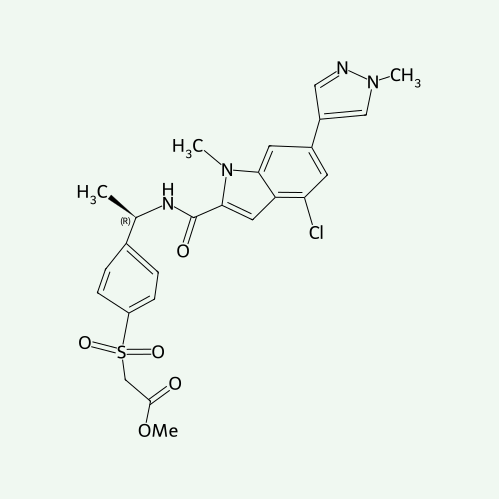 COC(=O)CS(=O)(=O)c1ccc([C@@H](C)NC(=O)c2cc3c(Cl)cc(-c4cnn(C)c4)cc3n2C)cc1